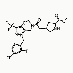 COC(=O)[C@@H]1CC(CC(=O)N2CCc3c(C(F)(F)F)nn(Cc4ccc(Cl)cc4F)c3C2)CN1